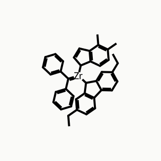 CCc1ccc2c(c1)[CH]([Zr](=[C](c1ccccc1)c1ccccc1)[CH]1C=Cc3c1ccc(C)c3C)c1cc(CC)ccc1-2